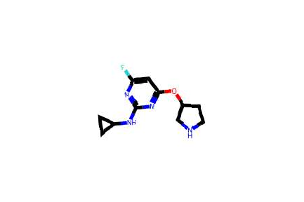 Fc1cc(OC2CCNC2)nc(NC2CC2)n1